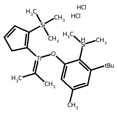 C[C](C)=[Ti]([O]c1cc(C)cc(C(C)(C)C)c1[SiH](C)C)[C]1=C([Si](C)(C)C)C=CC1.Cl.Cl